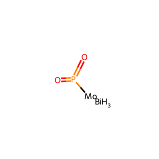 O=[P](=O)[Mo].[BiH3]